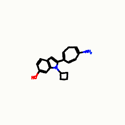 NC1=CCC=C(c2cc3ccc(O)cc3n2C2CCC2)C=C1